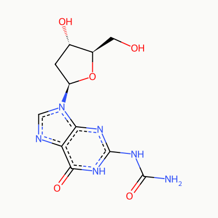 NC(=O)Nc1nc2c(ncn2[C@H]2C[C@H](O)[C@@H](CO)O2)c(=O)[nH]1